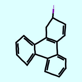 IC1C=Cc2c(c3ccccc3c3ccccc23)C1